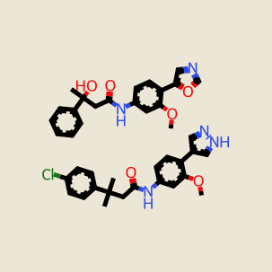 COc1cc(NC(=O)CC(C)(C)c2ccc(Cl)cc2)ccc1-c1cn[nH]c1.COc1cc(NC(=O)CC(C)(O)c2ccccc2)ccc1-c1cnco1